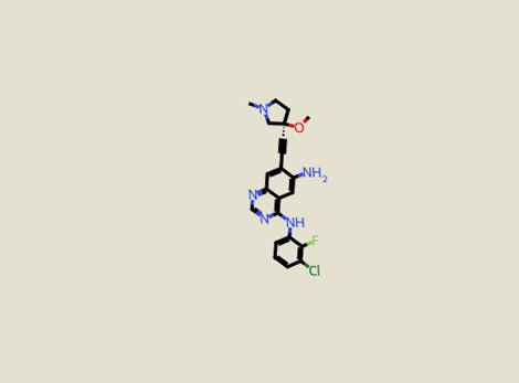 CO[C@]1(C#Cc2cc3ncnc(Nc4cccc(Cl)c4F)c3cc2N)CCN(C)C1